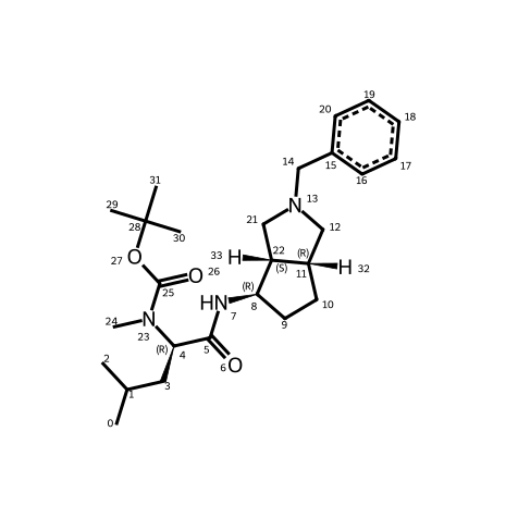 CC(C)C[C@H](C(=O)N[C@@H]1CC[C@H]2CN(Cc3ccccc3)C[C@H]21)N(C)C(=O)OC(C)(C)C